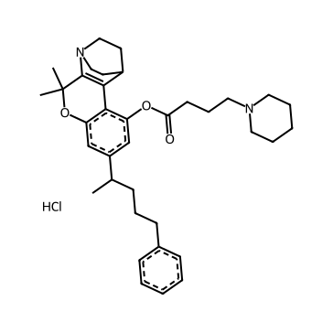 CC(CCCc1ccccc1)c1cc(OC(=O)CCCN2CCCCC2)c2c(c1)OC(C)(C)C1=C2C2CCN1CC2.Cl